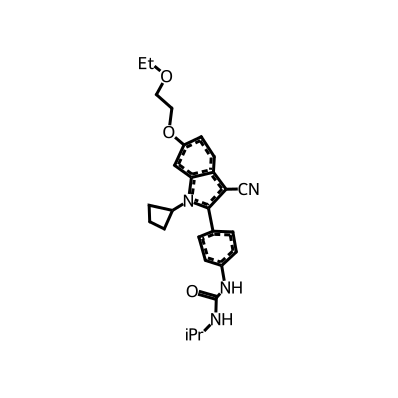 CCOCCOc1ccc2c(C#N)c(-c3ccc(NC(=O)NC(C)C)cc3)n(C3CCC3)c2c1